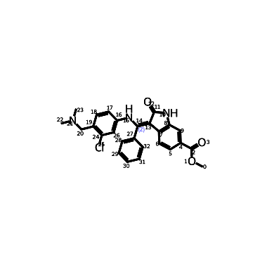 COC(=O)c1ccc2c(c1)NC(=O)/C2=C(\Nc1ccc(CN(C)C)c(Cl)c1)c1ccccc1